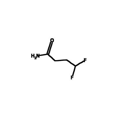 NC(=O)CCC(F)F